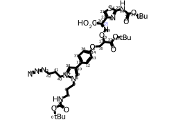 CC(C)(C)OC(=O)NCCCn1cc(-c2ccc(OCC(O/N=C(\C(=O)O)c3csc(NC(=O)OC(C)(C)C)n3)C(=O)OC(C)(C)C)cc2)c[n+]1CCCN=[N+]=[N-]